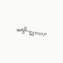 CC(C)(C)OC(=O)NCCOCC(O)COCC(=O)O